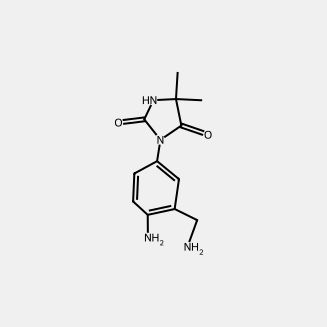 CC1(C)NC(=O)N(c2ccc(N)c(CN)c2)C1=O